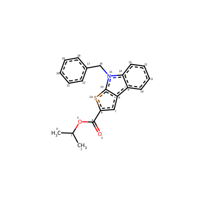 CC(C)OC(=O)c1cc2c3ccccc3n(Cc3ccccc3)c2s1